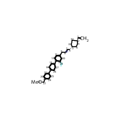 C=C[C@H]1CC[C@H](C/C=C/Cc2ccc(-c3ccc(-c4ccc(COC)cc4)cc3)c(F)c2)CC1